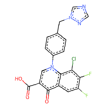 O=C(O)c1cn(-c2ccc(Cn3cncn3)cc2)c2c(Cl)c(F)c(F)cc2c1=O